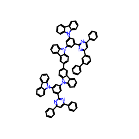 c1ccc(-c2cccc(-c3cc(-c4ccccc4)nc(-c4cc(-n5c6ccccc6c6ccccc65)cc(-n5c6ccccc6c6cc(-c7ccc8c(c7)c7ccccc7n8-c7cc(-c8nc(-c9ccccc9)cc(-c9ccccc9)n8)cc(-n8c9ccccc9c9ccccc98)c7)ccc65)c4)n3)c2)cc1